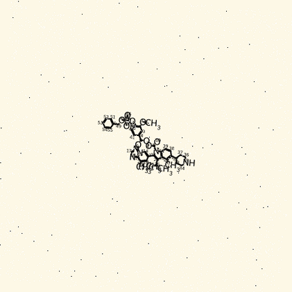 COc1cc(C(=O)OOC(=O)n2c(-c3cn4ncnc4c(C)c3C)c(C(C)C)c3c(C)c(C4CCNCC4)ccc32)ccc1OP(=O)(O)OCc1ccccc1